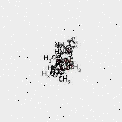 COc1c(C)cc2c(c1O)[C@H]1[C@H]3C(C4COC(=O)[C@]5(CS[C@@H]3c3c(OC(C)=O)c(C)c6c(c34)OCO6)N[C@@H](CN)Cc3c5oc4ccccc34)C(C)(C2)CN1C